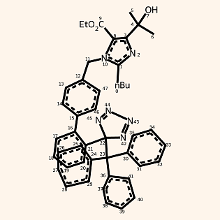 CCCCc1nc(C(C)(C)O)c(C(=O)OCC)n1Cc1ccc(-c2ccccc2C2(C(c3ccccc3)(c3ccccc3)c3ccccc3)N=NN=N2)cc1